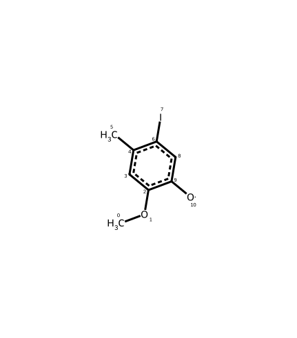 COc1cc(C)c(I)cc1[O]